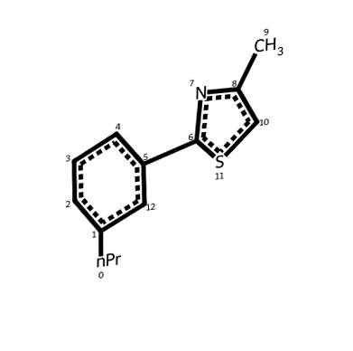 CCCc1cccc(-c2nc(C)cs2)c1